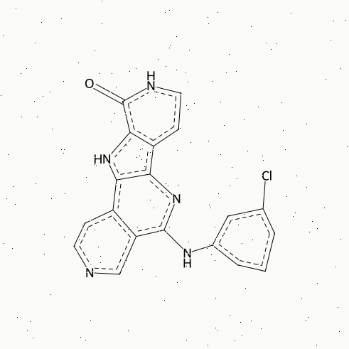 O=c1[nH]ccc2c1[nH]c1c3ccncc3c(Nc3cccc(Cl)c3)nc21